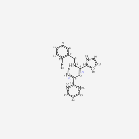 C/N=C(\C=C(/NCc1ccccc1F)c1ncco1)c1ncccn1